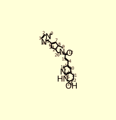 Cn1ccnc1C1=CC2CN(C(=O)/C=C/c3cnc4c(c3)CCC(O)N4)CC2C1